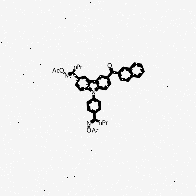 CCC/C(=N\OC(C)=O)c1ccc(-n2c3ccc(C(=O)c4ccc5ccccc5c4)cc3c3cc(/C(CCC)=N/OC(C)=O)ccc32)cc1